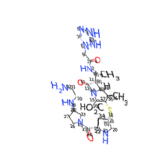 C[C@@H](NC(=O)CN1C=NNN1)[C@H]1C(=O)N2C(C(=O)O)=C(S[C@@H]3CN[C@H](C(=O)N4CC[C@@H](NCCN)C4)C3)[C@H](C)[C@H]12